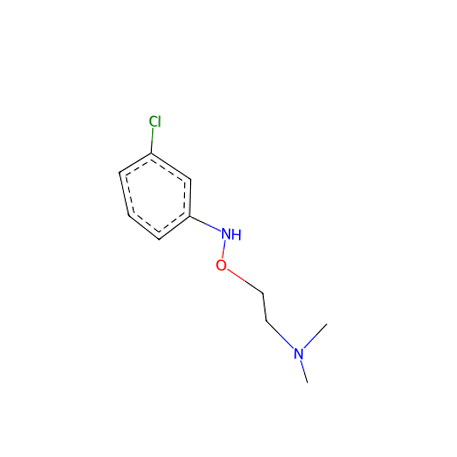 CN(C)CCONc1cccc(Cl)c1